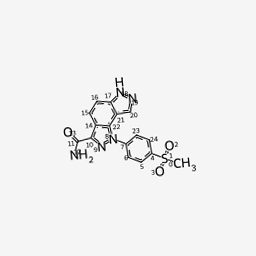 CS(=O)(=O)c1ccc(-n2nc(C(N)=O)c3ccc4[nH]ncc4c32)cc1